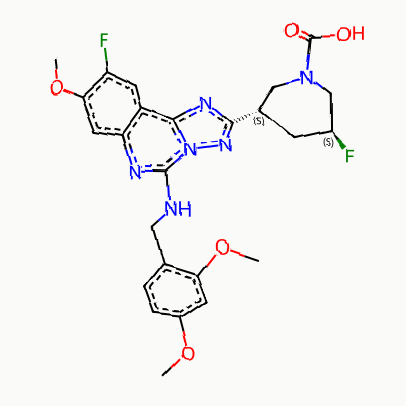 COc1ccc(CNc2nc3cc(OC)c(F)cc3c3nc([C@H]4C[C@H](F)CN(C(=O)O)C4)nn23)c(OC)c1